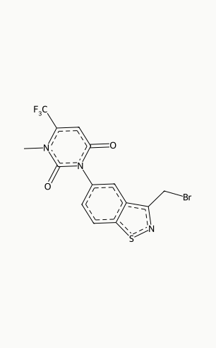 Cn1c(C(F)(F)F)cc(=O)n(-c2ccc3snc(CBr)c3c2)c1=O